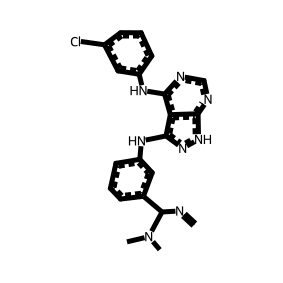 C=NC(c1cccc(Nc2n[nH]c3ncnc(Nc4cccc(Cl)c4)c23)c1)N(C)C